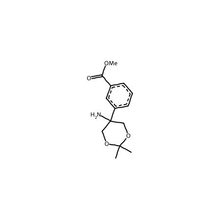 COC(=O)c1cccc(C2(N)COC(C)(C)OC2)c1